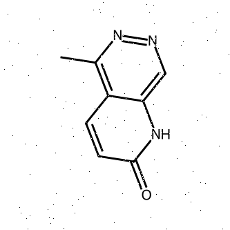 Cc1nncc2[nH]c(=O)ccc12